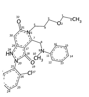 CCOCCCn1c(CN(C)c2ccccc2)c2c(=O)n(-c3ccccc3Cl)[nH]c2cc1=O